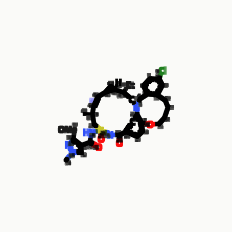 CC[C@H]1CN2Cc3ccc(Cl)cc3CCCCOc3ccc(cc32)C(=O)N=S(=O)(NC(=O)c2cn(C)nc2OC)C[C@@H](C)/C=C\C2=C[C@H]21